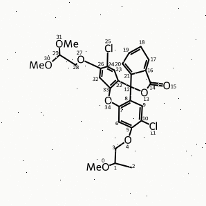 COC(C)COc1cc2c(cc1Cl)C1(OC(=O)c3ccccc31)c1cc(Cl)c(OCC(OC)OC)cc1O2